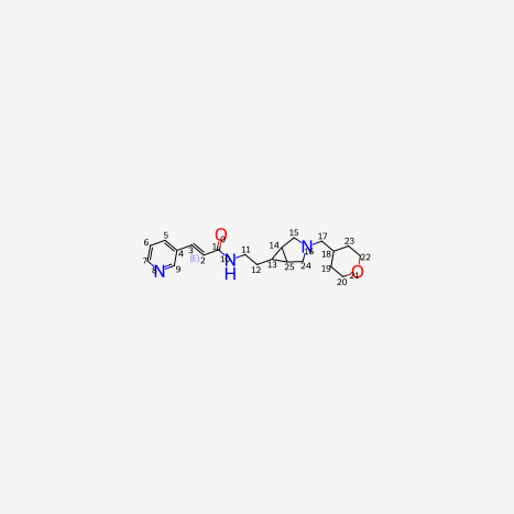 O=C(/C=C/c1cccnc1)NCCC1C2CN(CC3CCOCC3)CC12